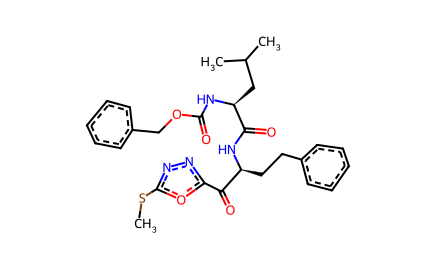 CSc1nnc(C(=O)[C@H](CCc2ccccc2)NC(=O)[C@H](CC(C)C)NC(=O)OCc2ccccc2)o1